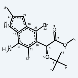 COC(=O)[C@@H](OC(C)(C)C)c1c(C)c(N)c2[nH]c(C)cc2c1Br